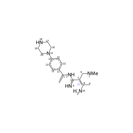 C=C(NC(=N)/C(CNC)=C(/C)N)c1ccc(N2CCNCC2)cc1